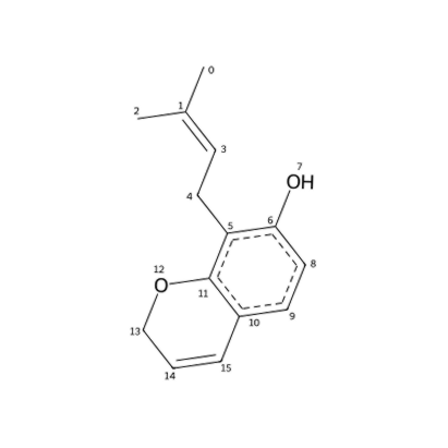 CC(C)=CCc1c(O)ccc2c1OCC=C2